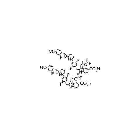 CC(Cn1c(Cc2cc(F)c(-c3cccc(OCc4ccc(C#N)cc4F)n3)cc2F)nc2ccc(C(=O)O)cc21)OC(F)F.CC(Cn1c(Cc2cc(F)c(-c3cccc(OCc4ccc(C#N)cc4F)n3)cc2F)nc2ccc(C(=O)O)cc21)OC(F)F